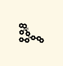 c1ccc(-c2cccc(N(c3ccc(-c4ccc5ccccc5c4)cc3)c3ccc(-c4nc5ccc6ccccc6c5n4-c4ccccc4)cc3)c2)cc1